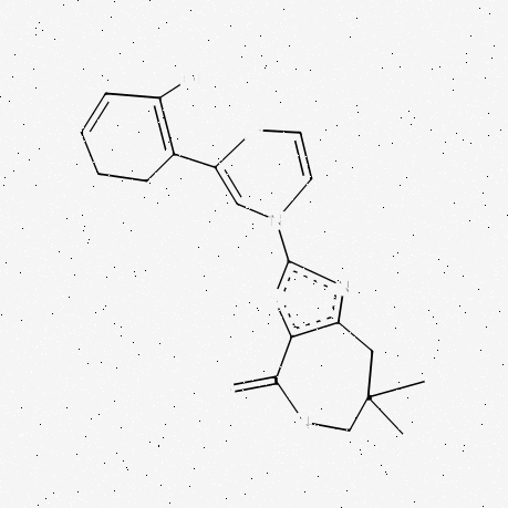 CC1(C)CNC(=O)c2sc(N3C=COC(C4=C(O)C=CCC4)=C3)nc2C1